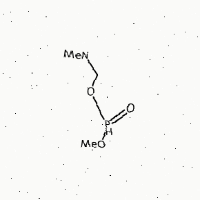 CNCO[PH](=O)OC